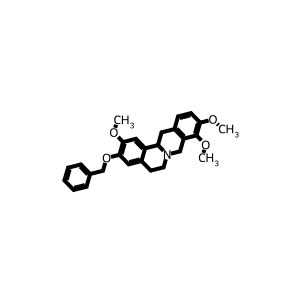 COc1cc2c(cc1OCc1ccccc1)CCN1Cc3c(ccc(OC)c3OC)CC21